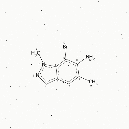 Cc1cc2cnn(C)c2c(Br)c1N